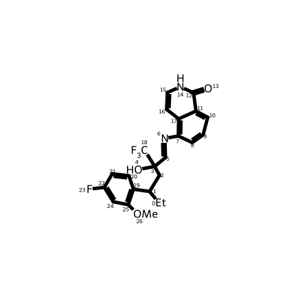 CCC(CC(O)(/C=N/c1cccc2c(=O)[nH]ccc12)C(F)(F)F)c1ccc(F)cc1OC